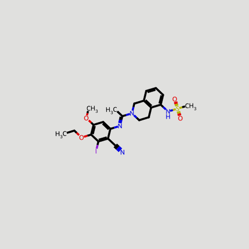 CCOc1c(OC)cc(N=C(C)N2CCc3c(cccc3NS(C)(=O)=O)C2)c(C#N)c1I